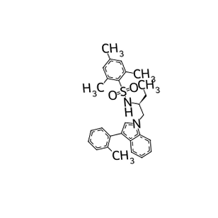 CC[C@@H](Cn1cc(-c2ccccc2C)c2ccccc21)NS(=O)(=O)c1c(C)cc(C)cc1C